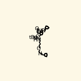 CN(CCOCCCCCNC[C@H](O[Si](C)(C)C(C)(C)C)c1ccc(OCc2ccccc2)c2[nH]c(=O)ccc12)CCc1ccccc1